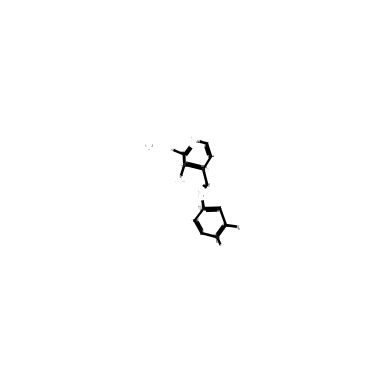 COc1nccc(/C=N/c2ccc(F)c(Cl)c2)c1O